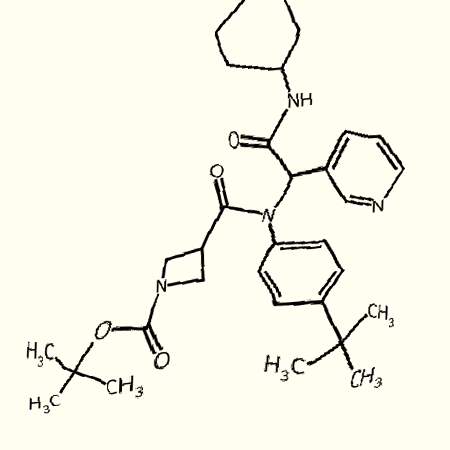 CC(C)(C)OC(=O)N1CC(C(=O)N(c2ccc(C(C)(C)C)cc2)C(C(=O)NC2CCCCC2)c2cccnc2)C1